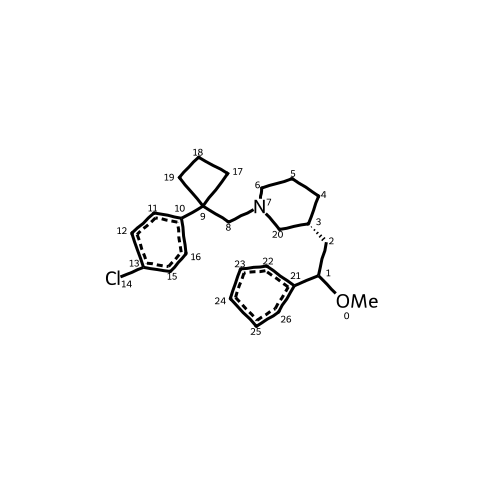 COC(C[C@H]1CCCN(CC2(c3ccc(Cl)cc3)CCC2)C1)c1ccccc1